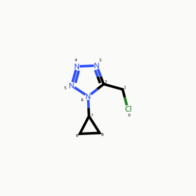 ClCc1nnnn1C1CC1